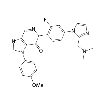 COc1ccc(-n2cnc3c2C(=O)C(c2ccc(-n4ccnc4CN(C)C)cc2F)N=C3)cc1